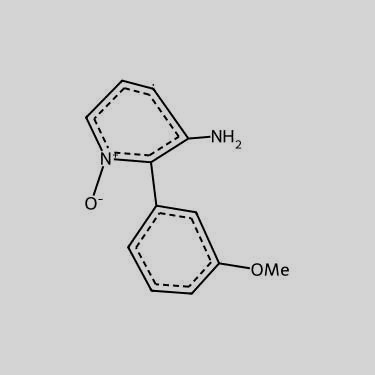 COc1cccc(-c2c(N)[c]cc[n+]2[O-])c1